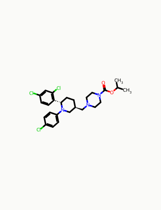 CC(C)OC(=O)N1CCN(C[C@@H]2CC[C@@H](c3ccc(Cl)cc3Cl)N(c3ccc(Cl)cc3)C2)CC1